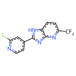 Fc1cc(-c2nc3nc(C(F)(F)F)ccc3[nH]2)ccn1